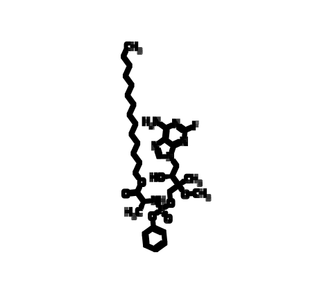 CCCCCCCCCCCCCCOC(=O)[C@H](C)NP(=O)(OC[C@@](C)(OC)[C@@H](O)Cn1cnc2c(N)nc(F)nc21)Oc1ccccc1